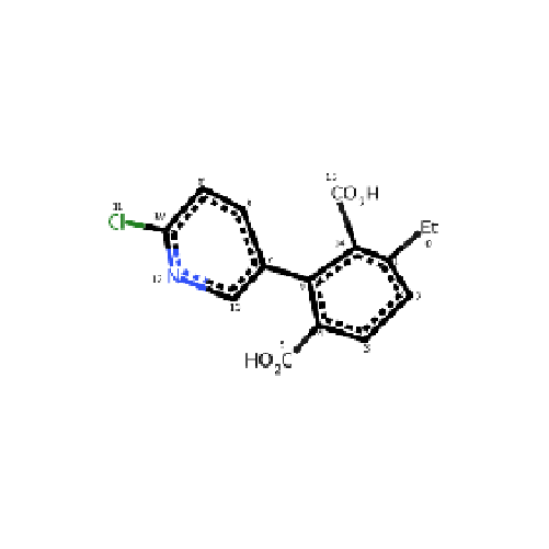 CCc1ccc(C(=O)O)c(-c2ccc(Cl)nc2)c1C(=O)O